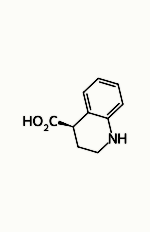 O=C(O)[C@@H]1CCNc2ccccc21